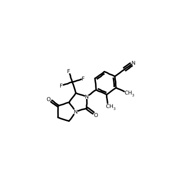 Cc1c(C#N)ccc(N2C(=O)N3CCC(=O)C3C2C(F)(F)F)c1C